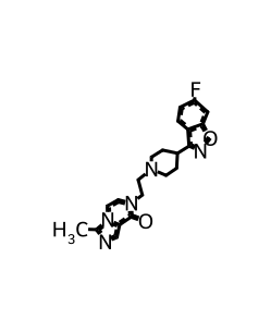 Cc1ncc2c(=O)n(CCN3CCC(c4noc5cc(F)ccc45)CC3)ccn12